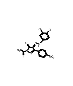 NC(=S)N1N=C(c2ccc([N+](=O)[O-])cc2)/C(=N\Nc2ccc(Cl)c(Cl)c2)C1=O